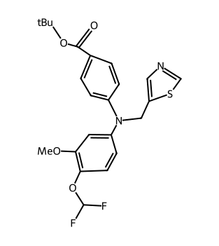 COc1cc(N(Cc2cncs2)c2ccc(C(=O)OC(C)(C)C)cc2)ccc1OC(F)F